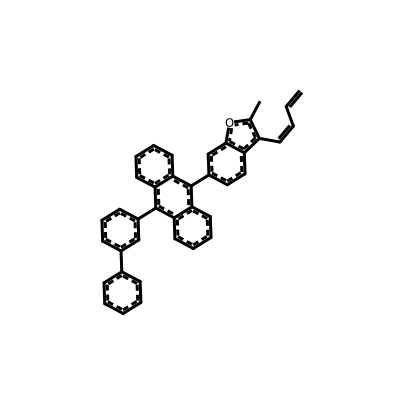 C=C/C=C\c1c(C)oc2cc(-c3c4ccccc4c(-c4cccc(-c5ccccc5)c4)c4ccccc34)ccc12